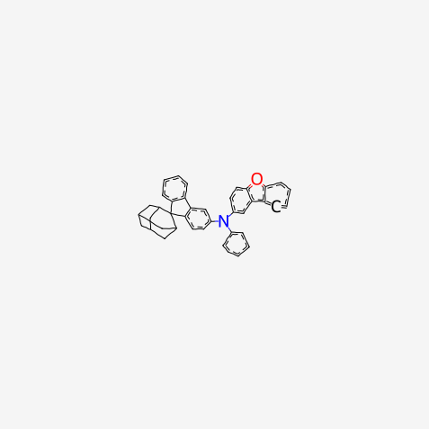 c1ccc(N(c2ccc3c(c2)-c2ccccc2C32C3CC4CC(C3)CC2C4)c2ccc3oc4ccccc4c3c2)cc1